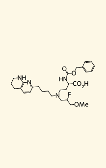 COCC(F)CN(CCCCc1ccc2c(n1)NCCC2)CCC(NC(=O)OCc1ccccc1)C(=O)O